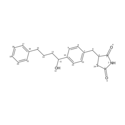 O=C1NC(=O)C(Cc2ccc(C(O)CCCc3ccccc3)cc2)S1